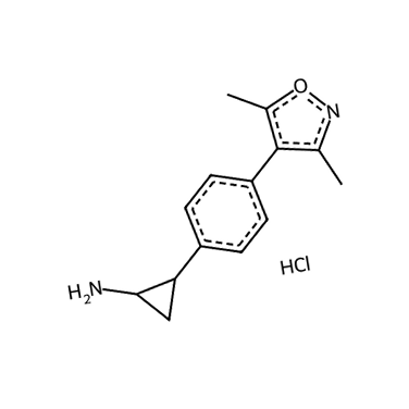 Cc1noc(C)c1-c1ccc(C2CC2N)cc1.Cl